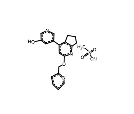 CS(=O)(=O)O.Oc1cncc(-c2cc(OCc3ccccn3)nc3c2CCC3)c1